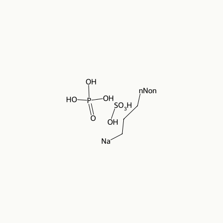 CCCCCCCCCCC[CH2][Na].O=P(O)(O)O.O=S(=O)(O)O